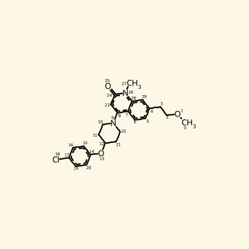 COCCc1ccc2c(N3CCC(Oc4ccc(Cl)cc4)CC3)cc(=O)n(C)c2c1